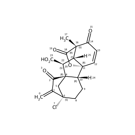 C=C1C(=O)[C@]23C[C@@]1(Cl)CC[C@H]2[C@@]12C=CC(=O)[C@@](C)(C(=O)O1)[C@H]2[C@@H]3C(=O)O